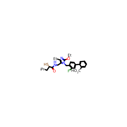 CCOc1nc(CC)c(CNC(=O)[C@H](S)CC(C)C)n1Cc1ccc(-c2ccccc2C(=O)O)cc1F